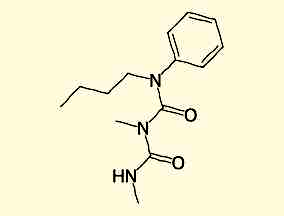 CCCCN(C(=O)N(C)C(=O)NC)c1ccccc1